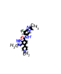 CN/C=C1\C(=N)C(C(=O)Nc2cc(F)c3nc(C)cn3c2)=CC=C1C1CCN(C)CC1